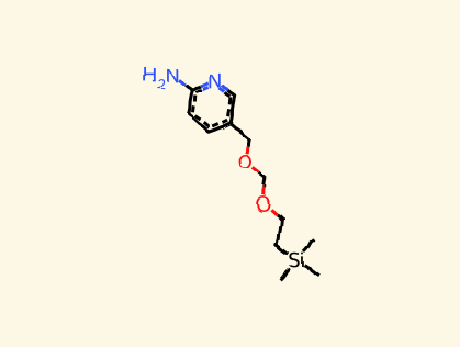 C[Si](C)(C)CCOCOCc1ccc(N)nc1